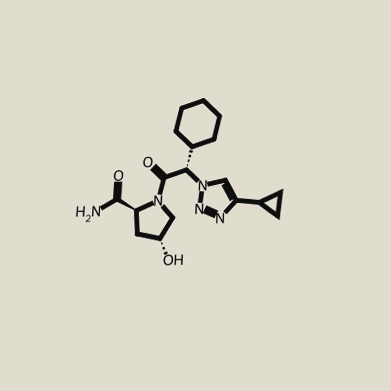 NC(=O)[C@@H]1C[C@@H](O)CN1C(=O)[C@H](C1CCCCC1)n1cc(C2CC2)nn1